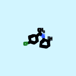 [2H]c1ccccc1N=C(C)c1ccc(Cl)cc1